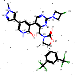 C[C@H]1[C@@H](c2cc(C(F)(F)F)cc(C(F)(F)F)c2)OC(=O)N1Cc1nc(N2CC(F)C2)ncc1C1=CC(c2cnn(C)c2)=CNC1O